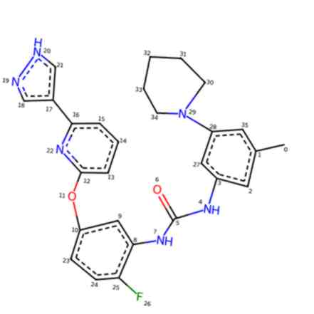 Cc1cc(NC(=O)Nc2cc(Oc3cccc(-c4cn[nH]c4)n3)ccc2F)cc(N2CCCCC2)c1